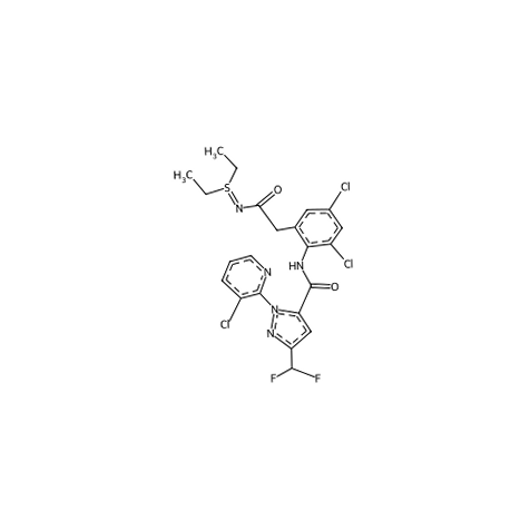 CCS(CC)=NC(=O)Cc1cc(Cl)cc(Cl)c1NC(=O)c1cc(C(F)F)nn1-c1ncccc1Cl